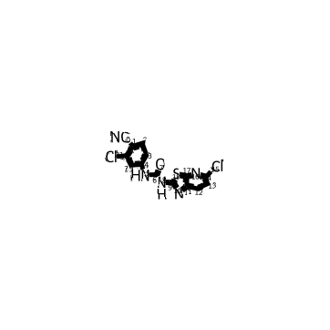 N#Cc1ccc(NC(=O)Nc2nc3ccc(Cl)nc3s2)cc1Cl